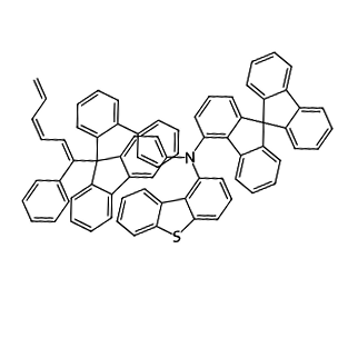 C=C/C=C\C=C(/c1ccccc1)C1(c2ccccc2-c2ccccc2)c2ccccc2-c2cc(N(c3cccc4c3-c3ccccc3C43c4ccccc4-c4ccccc43)c3cccc4sc5ccccc5c34)ccc21